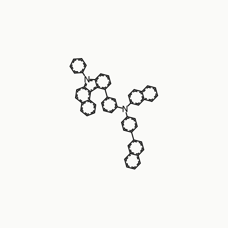 c1ccc(-n2c3cccc(-c4cccc(N(c5ccc(-c6ccc7ccccc7c6)cc5)c5ccc6ccccc6c5)c4)c3c3c4ccccc4ccc32)cc1